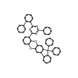 c1ccc(-c2nc(-c3ccccc3-c3ccccc3)nc(-c3cccc4c3Oc3cc5c(cc3O4)-c3ccccc3C5(c3ccccc3)c3ccccc3)n2)cc1